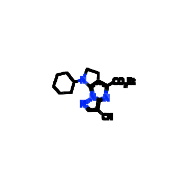 CCOC(=O)c1nc2c(C#N)cnn2c2c1CCN2C1CCCCC1